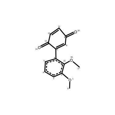 COc1cccc(C2=CC(=O)C=CC2=O)c1OC